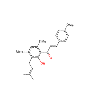 COc1ccc(/C=C/C(=O)c2c(OC)cc(OC)c(CC=C(C)C)c2O)cc1